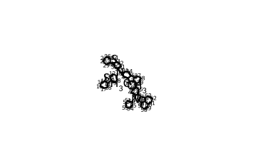 CC1(C)c2cc(N(c3ccc4c(c3)sc3ccccc34)c3ccc4sc5ccccc5c4c3)ccc2-c2cccc(-c3ccc4c(c3)c3c(n4-c4ccccc4)-c4cccc5cccc-3c45)c21